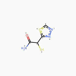 NC(=O)C(S)c1nncs1